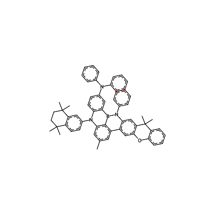 Cc1cc2c3c(c1)N(c1ccc4c(c1)C(C)(C)CCC4(C)C)c1ccc(N(c4ccccc4)c4ccccc4)cc1B3N(c1ccccc1)c1cc3c(cc1-2)Oc1ccccc1C3(C)C